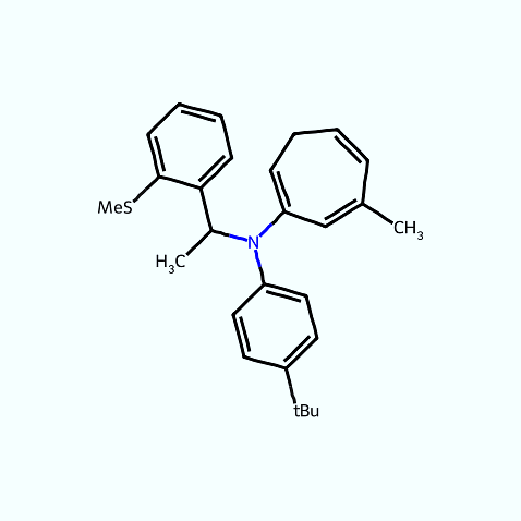 CSc1ccccc1C(C)N(C1=CCC=CC(C)=C1)c1ccc(C(C)(C)C)cc1